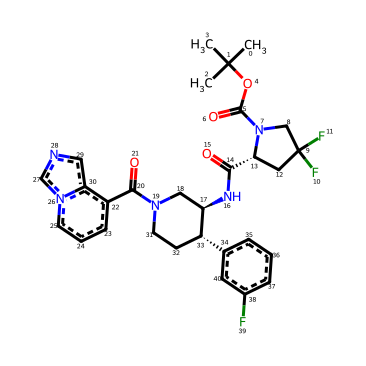 CC(C)(C)OC(=O)N1CC(F)(F)C[C@@H]1C(=O)N[C@@H]1CN(C(=O)c2cccn3cncc23)CC[C@H]1c1cccc(F)c1